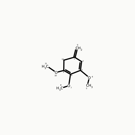 C=C1C=C(OC)C(OC)=C(OC)C1